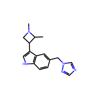 CC1C(c2c[nH]c3ccc(Cn4cncn4)cc23)CN1C